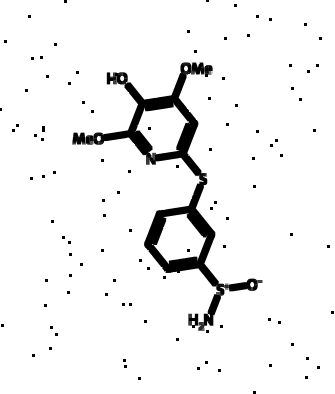 COc1cc(Sc2cccc([S+](N)[O-])c2)nc(OC)c1O